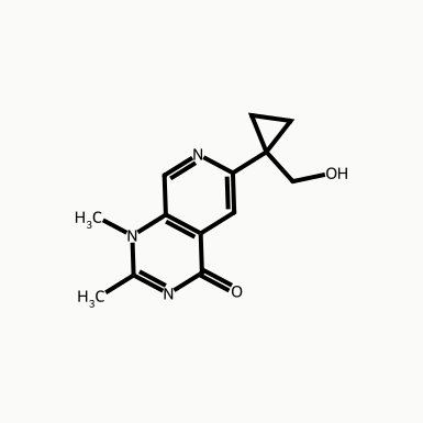 Cc1nc(=O)c2cc(C3(CO)CC3)ncc2n1C